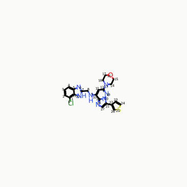 Clc1cccc2nc(CNc3cc(N4CCOCC4)nn4c(-c5ccsc5)cnc34)[nH]c12